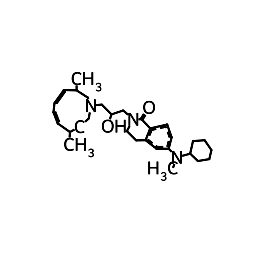 CC1/C=C\C=C/C(C)CN(CC(O)CN2CCc3cc(N(C)C4CCCCC4)ccc3C2=O)CC1